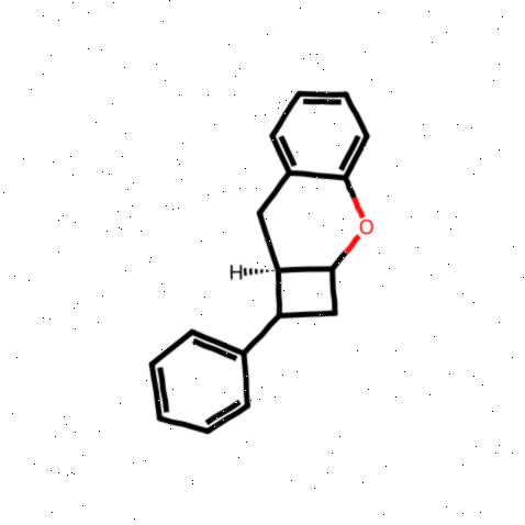 c1ccc(C2CC3Oc4ccccc4C[C@@H]32)cc1